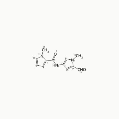 Cn1cc(NC(=O)c2cccn2C)cc1C=O